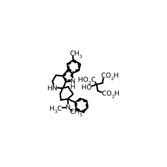 Cc1ccc2[nH]c3c(c2c1)CCNC31CCC(c2ccccc2)(N(C)C)CC1.O=C(O)CC(O)(CC(=O)O)C(=O)O